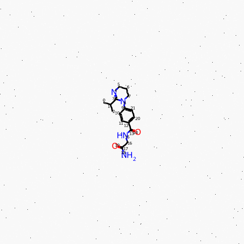 CC(C)C1=NCCCN1c1ccc(C(=O)NCC(N)=O)cc1